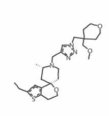 CCc1cc2c(s1)CCO[C@@]21CCN(Cc2cn(CC3(COC)CCOCC3)nn2)[C@@H](C)C1